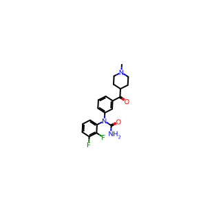 CN1CCC(C(=O)c2cccc(N(C(N)=O)c3cccc(F)c3F)c2)CC1